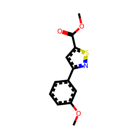 COC(=O)c1cc(-c2cccc(OC)c2)ns1